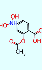 CC(=O)Oc1ccccc1C(=O)O.ONO